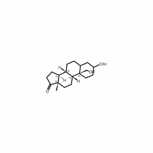 CC(=O)OC1CC[C@@]2(CO)C(CC[C@@H]3[C@H]2CC[C@]2(C)C(=O)CC[C@@H]32)C1